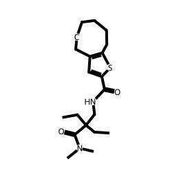 CCC(CC)(CNC(=O)c1cc2c(s1)CCCCCC2)C(=O)N(C)C